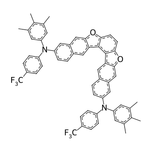 Cc1cc(N(c2ccc(C(F)(F)F)cc2)c2ccc3cc4c(cc3c2)oc2ccc3oc5cc6cc(N(c7ccc(C(F)(F)F)cc7)c7cc(C)c(C)c(C)c7)ccc6cc5c3c24)cc(C)c1C